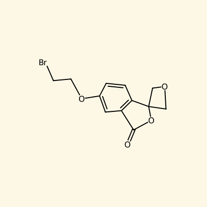 O=C1OC2(COC2)c2ccc(OCCBr)cc21